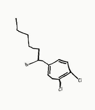 CCCCCC(Br)c1ccc(Cl)c(Cl)c1